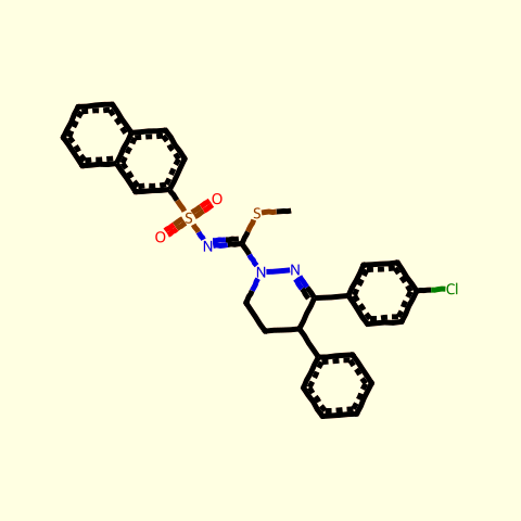 CSC(=NS(=O)(=O)c1ccc2ccccc2c1)N1CCC(c2ccccc2)C(c2ccc(Cl)cc2)=N1